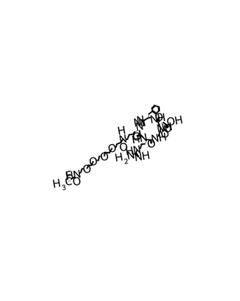 C[C@H](F)C(=O)NCCOCCOCCOCCOCCC(=O)NCCCC[C@H]1C(=O)N[C@@H](CCCNC(=N)N)C(=O)NCC(=O)N[C@@H](CC(=O)O)C(=O)N[C@@H](Cc2ccccc2)c2cn1nn2